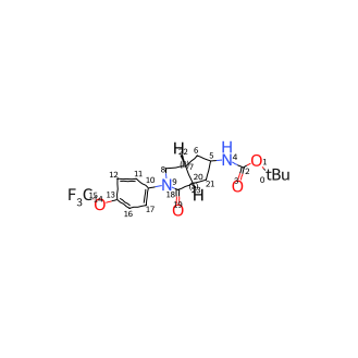 CC(C)(C)OC(=O)NC1C[C@H]2CN(c3ccc(OC(F)(F)F)cc3)C(=O)[C@H]2C1